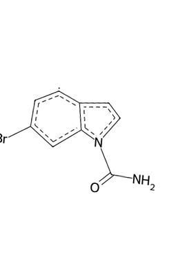 NC(=O)n1ccc2[c]cc(Br)cc21